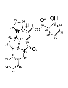 O=C(O/C=C1\C=C2C(=O)N(Cc3ccccc3)c3cccc(c32)N2CCC[C@@H]12)c1ccccc1O